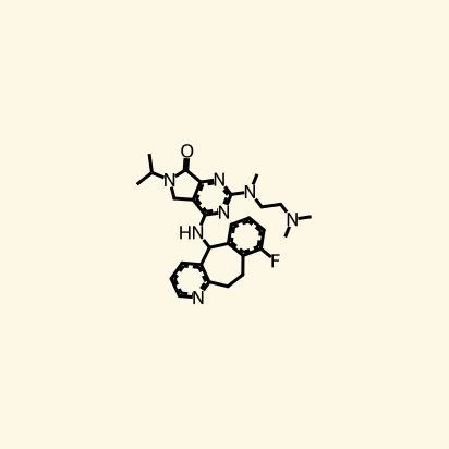 CC(C)N1Cc2c(NC3c4cccnc4CCc4c(F)cccc43)nc(N(C)CCN(C)C)nc2C1=O